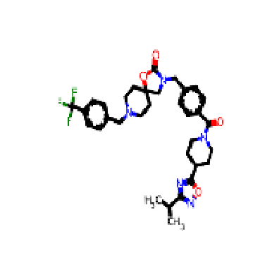 CC(C)c1noc(C2CCN(C(=O)c3ccc(CN4CC5(CCN(Cc6ccc(C(F)(F)F)cc6)CC5)OC4=O)cc3)CC2)n1